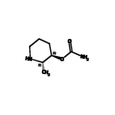 C[C@@H]1NCCC[C@H]1OC(N)=O